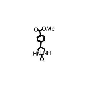 COC(=O)c1ccc(C2CNC(=O)NC2)cc1